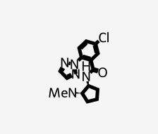 CN[C@H]1CCC[C@@H]1NC(=O)c1cc(Cl)ccc1-n1nccn1